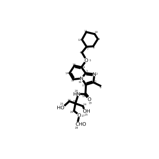 Cc1nc2c(OCC3CCCCC3)cccn2c1C(=O)NC(CO)(CO)COC=O